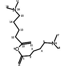 C=C(CCCCN(C)C)OC(=C)CCCCN(C)C